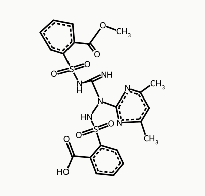 COC(=O)c1ccccc1S(=O)(=O)NC(=N)N(NS(=O)(=O)c1ccccc1C(=O)O)c1nc(C)cc(C)n1